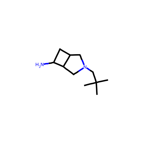 CC(C)(C)CN1CC2CC(N)C2C1